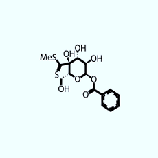 CSC(=S)[C@]1(O)[C@H](O)[C@@H](O)[C@@H](OC(=O)c2ccccc2)O[C@@H]1CO